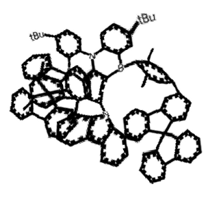 Cc1cc(C)c(B2c3cc(C(C)(C)C)ccc3N3c4ccc(C(C)(C)C)cc4B4c5cc(cc2c53)-n2c3c(-c5cccc6c5C5(c7ccccc7-c7ccccc75)c5ccccc5-6)cccc3c3cccc(c32)-c2cccc3c2C2(c5ccccc5-c5ccccc52)c2ccc(cc2-3)-c2cc(C)c4c(C)c2)c(C)c1